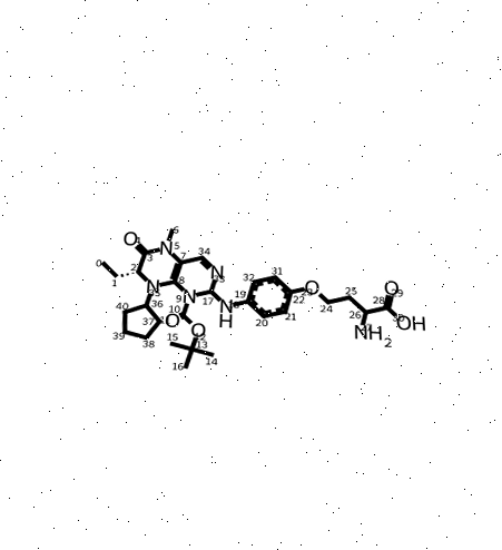 CC[C@@H]1C(=O)N(C)C2=C(N(C(=O)OC(C)(C)C)C(Nc3ccc(OCCC(N)C(=O)O)cc3)N=C2)N1C1CCCC1